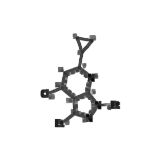 CCc1nn(CC)c2nc(C3CC3)cc(Cl)c12